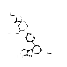 CCOC(=O)C1(N)CCN(c2ccc(-c3cc(OCC)cn4nc5[nH]ncc5c34)cn2)C(CC)C1